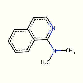 CN(C)c1nccc2ccccc12